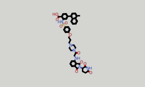 Cc1ccc(-c2ccc(C(=O)O)c(NS(=O)(=O)c3ccc(OCCCN4CCN(C(=O)CNc5cccc6c5C(=O)N(C5CCC(=O)NC5=O)C6=O)CC4)cc3)c2)c2ccccc12